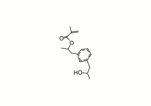 C=C(C)C(=O)OC(C)Cc1cccc(CC(C)O)c1